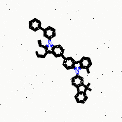 C=Cc1c(/C=C\C)c2cc(-c3ccc4c(c3)c3cccc(C)c3n4-c3ccc4c(c3)C(C)(C)c3ccccc3-4)ccc2n1-c1cccc(-c2ccccc2)c1